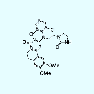 COc1cc2c(cc1OC)-c1cc(N(CCN3CCNC3=O)c3c(Cl)cncc3Cl)nc(=O)n1CC2